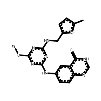 CCOc1nc(NCc2ccc(C)o2)nc(Nc2ccc3nc[nH]c(=O)c3c2)n1